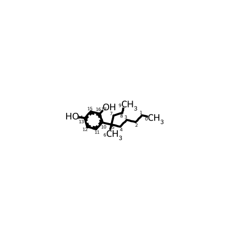 CCCCCC(C)(CCC)c1ccc(O)cc1O